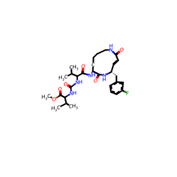 COC(=O)C(NC(=O)NC(C(=O)N[C@H]1CCCCNC(=O)/C=C/[C@H](Cc2cccc(F)c2)NC1=O)C(C)C)C(C)C